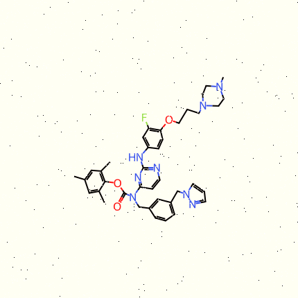 Cc1cc(C)c(OC(=O)N(Cc2cccc(Cn3cccn3)c2)c2ccnc(Nc3ccc(OCCCN4CCN(C)CC4)c(F)c3)n2)c(C)c1